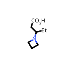 CCC(CC(=O)O)N1CCC1